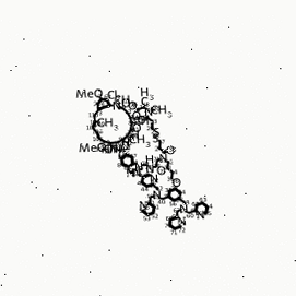 COc1cc2cc(c1Cl)N(C)C(=O)C[C@H](OC(=O)[C@H](C)N(C)C(=O)CCSSCCC(=O)N(CCCCOc1cc(CN(Cc3ccccn3)Cc3ccccn3)cc(CN(Cc3ccccn3)Cc3ccccn3)c1)CC(=O)NCn1nnc3ccccc31)[C@]1(C)O[C@H]1[C@H](C)[C@@H]1C[C@@](O)(NC(=O)O1)[C@H](OC)/C=C/C=C(\C)C2